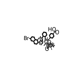 CN[C@@H](C)C(=O)NC(C)CN(C(=O)c1ccc(C(=O)O)cc1)c1ccccc1N(C=O)Cc1c(OC)ccc2cc(Br)ccc12